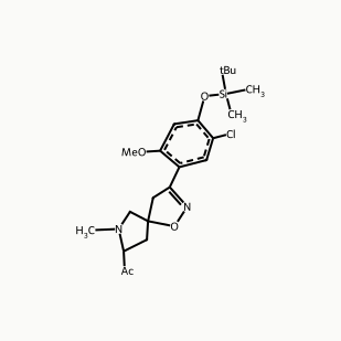 COc1cc(O[Si](C)(C)C(C)(C)C)c(Cl)cc1C1=NOC2(C1)CC(C(C)=O)N(C)C2